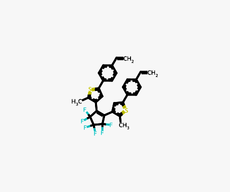 C=Cc1ccc(-c2cc(C3=C(c4cc(-c5ccc(C=C)cc5)sc4C)C(F)(F)C(F)(F)C3(F)F)c(C)s2)cc1